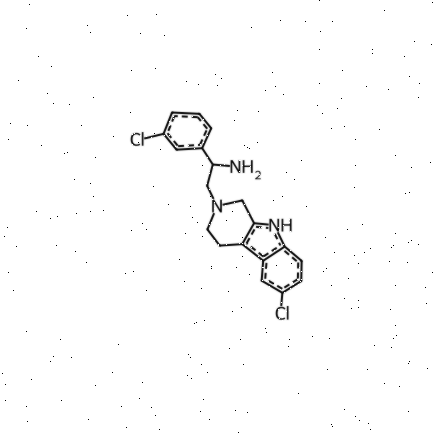 NC(CN1CCc2c([nH]c3ccc(Cl)cc23)C1)c1cccc(Cl)c1